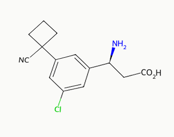 N#CC1(c2cc(Cl)cc([C@@H](N)CC(=O)O)c2)CCC1